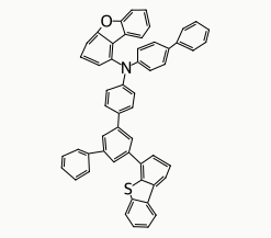 c1ccc(-c2ccc(N(c3ccc(-c4cc(-c5ccccc5)cc(-c5cccc6c5sc5ccccc56)c4)cc3)c3cccc4oc5ccccc5c34)cc2)cc1